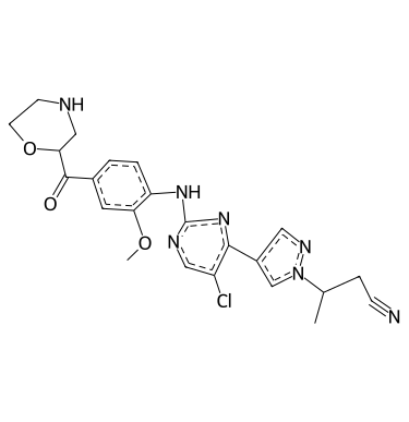 COc1cc(C(=O)C2CNCCO2)ccc1Nc1ncc(Cl)c(-c2cnn(C(C)CC#N)c2)n1